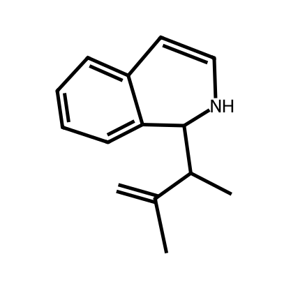 C=C(C)C(C)C1NC=Cc2ccccc21